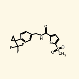 CS(=O)(=O)c1ccc(C(=O)NCc2ccc(C3(C(F)(F)F)CC3)cc2)s1